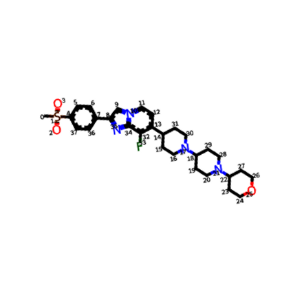 CS(=O)(=O)c1ccc(-c2cn3ccc(C4CCN(C5CCN(C6CCOCC6)CC5)CC4)c(F)c3n2)cc1